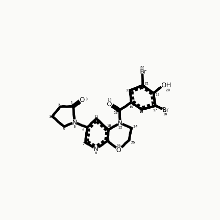 O=C1CCCN1c1cnc2c(c1)N(C(=O)c1cc(Br)c(O)c(Br)c1)CCO2